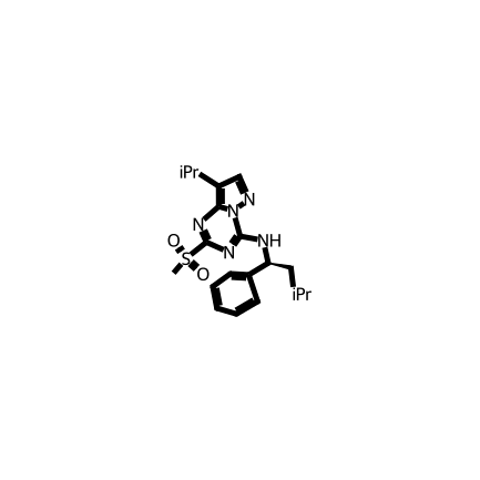 CC(C)C[C@H](Nc1nc(S(C)(=O)=O)nc2c(C(C)C)cnn12)c1ccccc1